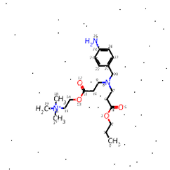 CCCOC(=O)CCN(CCC(=O)OCC[N+](C)(C)C)Cc1ccc(N)cc1